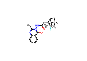 CC(C)c1nc2ccccc2c(=O)n1NC(=O)CC1C2C[C@H](C[C@H]1F)C2(C)C